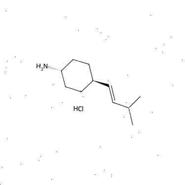 CC(C)C=C[C@H]1CC[C@H](N)CC1.Cl